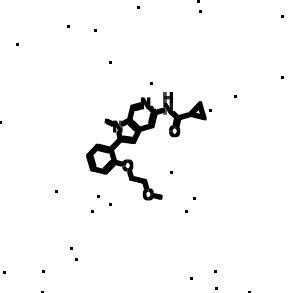 COCCOc1ccccc1-c1cc2cc(NC(=O)C3CC3)ncc2n1C